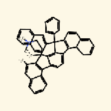 Cc1cc2ccccc2c2c1C(C)(CCN(C(F)(F)F)C(F)(F)F)c1c-2ccc2c1C(c1ccccc1)(c1ccc3ccccc3c1)C1=C2C2CC=CC=C2C=C1